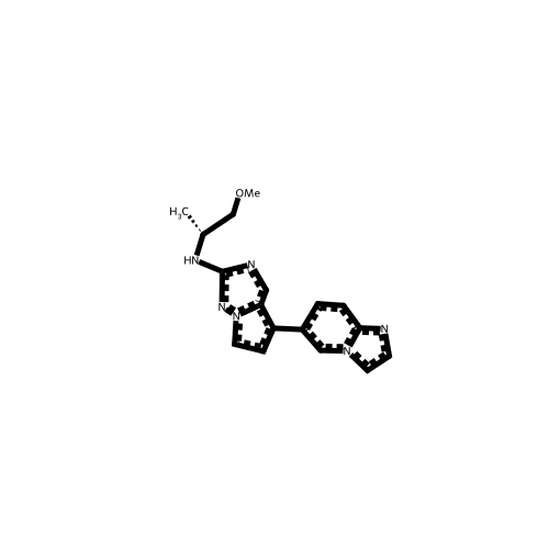 COC[C@@H](C)Nc1ncc2c(-c3ccc4nccn4c3)ccn2n1